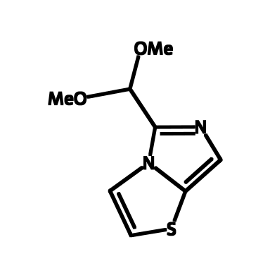 COC(OC)c1ncc2sccn12